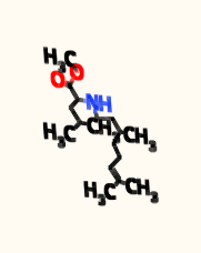 COC(=O)C(CC(C)C)NCCC(C)CCC=C(C)C